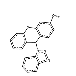 COc1ccc2c(c1)Sc1ccccc1C2n1nnc2ccccc21